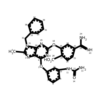 Cc1nc2c(Oc3cccc(NC(N)=O)c3)nc(Oc3cc(C(=N)N)ccc3C(=O)O)nc2n1Cc1ccccc1